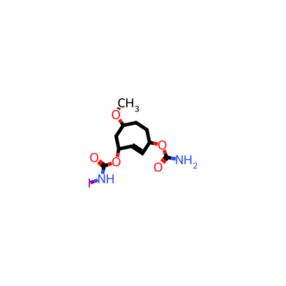 COC1CCC(OC(N)=O)/C=C/C(OC(=O)NI)C1